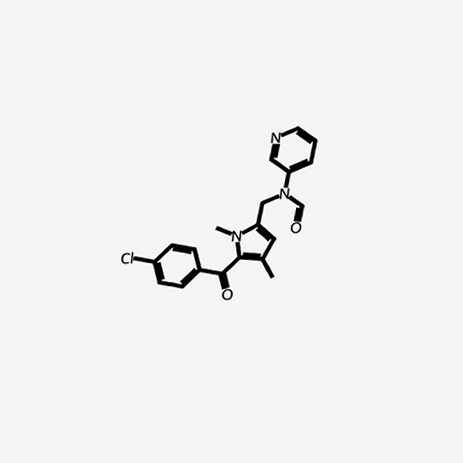 Cc1cc(CN(C=O)c2cccnc2)n(C)c1C(=O)c1ccc(Cl)cc1